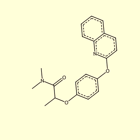 CC(Oc1ccc(Oc2ccc3ccccc3n2)cc1)C(=O)N(C)C